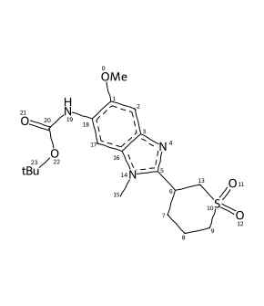 COc1cc2nc(C3CCCS(=O)(=O)C3)n(C)c2cc1NC(=O)OC(C)(C)C